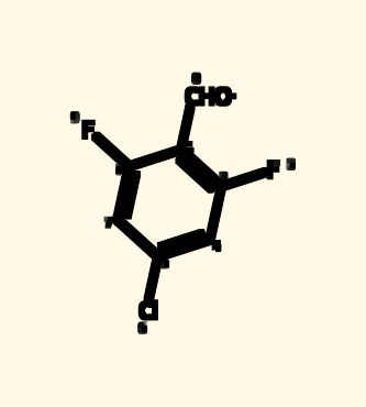 O=[C]c1c(F)cc(Cl)cc1F